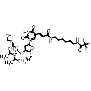 [2H]C[C@H]1O[C@@H](n2cc(/C=C/C(=O)NCCCCCCNC(=O)C(F)(F)F)c(=O)[nH]c2=O)CC1OP(O/C=N/CC)N(C(C)C)C(C)C